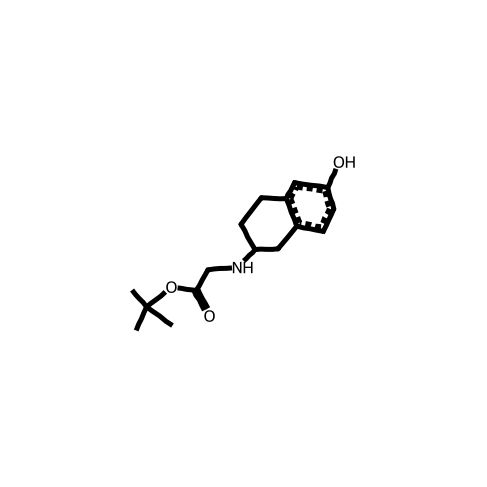 CC(C)(C)OC(=O)CNC1CCc2cc(O)ccc2C1